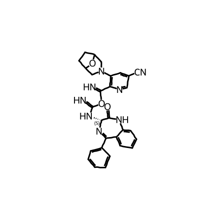 N#Cc1cnc(C(=N)OC(=N)N[C@H]2N=C(c3ccccc3)c3ccccc3NC2=O)c(N2CC3CCC(C2)O3)c1